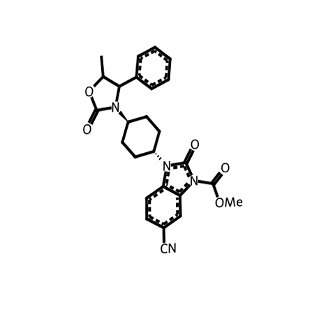 COC(=O)n1c(=O)n([C@H]2CC[C@H](N3C(=O)OC(C)C3c3ccccc3)CC2)c2ccc(C#N)cc21